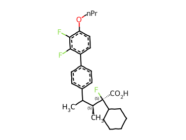 CCCOc1ccc(-c2ccc(C(C)[C@H](C)[C@](F)(C(=O)O)C3CCCCC3)cc2)c(F)c1F